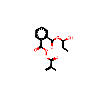 C=C(C)C(=O)OOC(=O)c1ccccc1C(=O)OC(O)CC